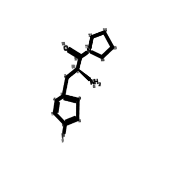 N[C@@H](Cc1ccc(F)cc1)C(=O)N1CCCC1